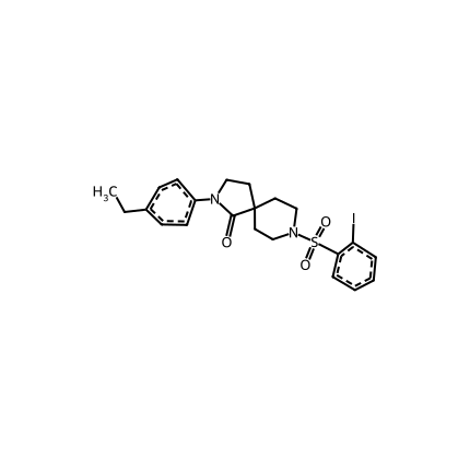 CCc1ccc(N2CCC3(CCN(S(=O)(=O)c4ccccc4I)CC3)C2=O)cc1